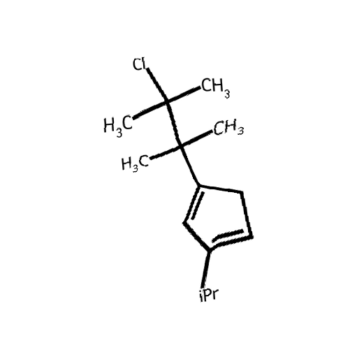 CC(C)C1=CCC(C(C)(C)C(C)(C)Cl)=C1